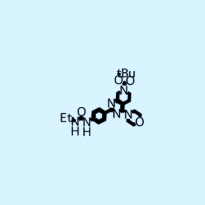 CCNC(=O)Nc1ccc(-c2nc3c(c(N4CCOCC4)n2)CCN(C(=O)OC(C)(C)C)C3)cc1